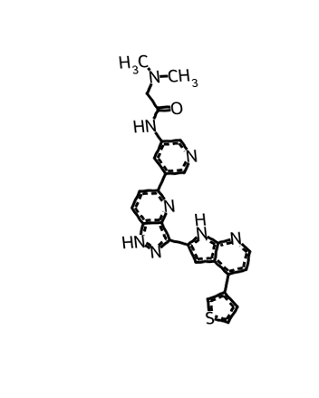 CN(C)CC(=O)Nc1cncc(-c2ccc3[nH]nc(-c4cc5c(-c6ccsc6)ccnc5[nH]4)c3n2)c1